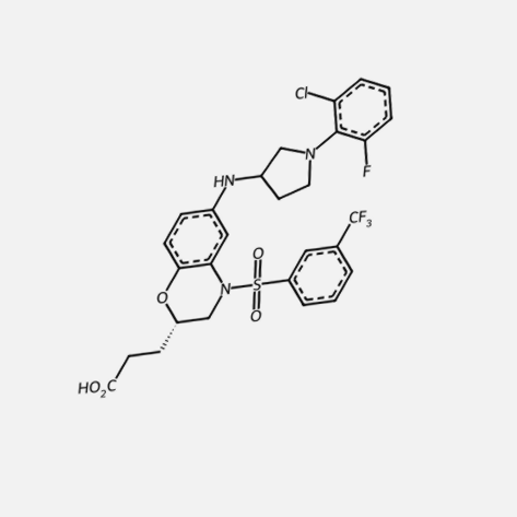 O=C(O)CC[C@H]1CN(S(=O)(=O)c2cccc(C(F)(F)F)c2)c2cc(NC3CCN(c4c(F)cccc4Cl)C3)ccc2O1